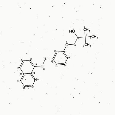 CC(C)(C)C(O)COc1cccc(COc2cccc3cccnc23)c1